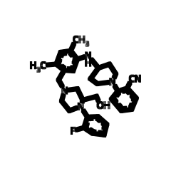 Cc1cc(C)c(NC2CCN(c3ccccc3C#N)CC2)cc1CN1CCN(c2ccccc2F)C(CO)C1